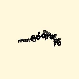 CCCCCC1COC(c2ccc(-c3cc(F)c(C(F)(F)Oc4ccc(-c5cc(F)c(Cl)c(F)c5)c(F)c4)c(F)c3)c(F)c2)OC1